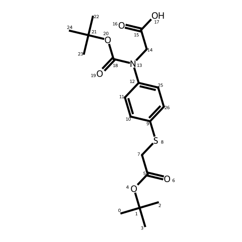 CC(C)(C)OC(=O)CSc1ccc(N(CC(=O)O)C(=O)OC(C)(C)C)cc1